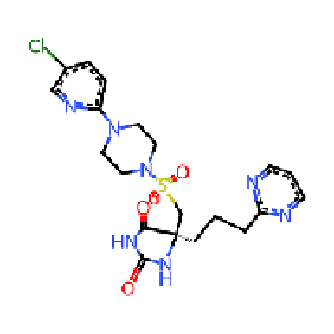 O=C1NC(=O)[C@@](CCCc2ncccn2)(CS(=O)(=O)N2CCN(c3ccc(Cl)cn3)CC2)N1